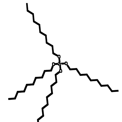 CCCCCCCCCC[O][Zr]([O]CCCCCCCCCC)([O]CCCCCCCCCC)[O]CCCCCCCCCC